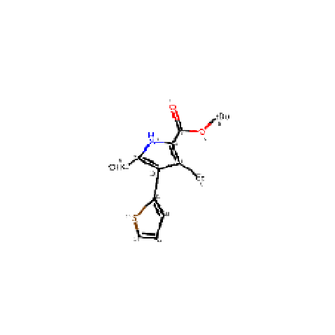 CCc1c(C(=O)OC(C)(C)C)[nH]c(C=O)c1-c1cccs1